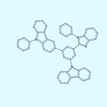 c1ccc(-n2c(-c3cc(-c4ccc5c(c4)c4ccccc4n5-c4ccccc4)cc(-n4c5ccccc5c5ccccc54)c3)nc3ccccc32)cc1